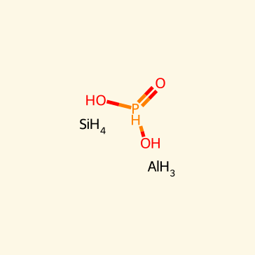 O=[PH](O)O.[AlH3].[SiH4]